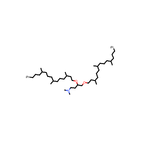 CC(C)CCCC(C)CCCC(C)CCCC(C)CCOCC(CCN(C)C)OCCC(C)CCCC(C)CCCC(C)CCCC(C)C